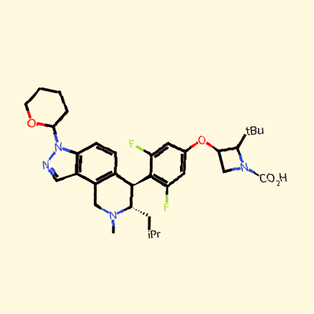 CC(C)C[C@H]1[C@H](c2c(F)cc(OC3CN(C(=O)O)C3C(C)(C)C)cc2F)c2ccc3c(cnn3C3CCCCO3)c2CN1C